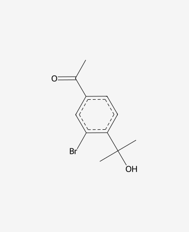 CC(=O)c1ccc(C(C)(C)O)c(Br)c1